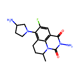 CC1CCc2c(N3CCC(N)C3)c(F)cc3c(=O)n(N)c(=O)n1c23